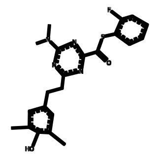 Cc1cc(CCc2nc(C(=O)Sc3ccccc3F)nc(N(C)C)n2)cc(C)c1O